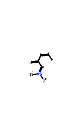 C=C(/C=C\C)/C=[N+](\CC)CCC